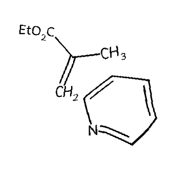 C=C(C)C(=O)OCC.c1ccncc1